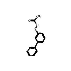 O=C(O)OSc1cccc(-c2ccccc2)c1